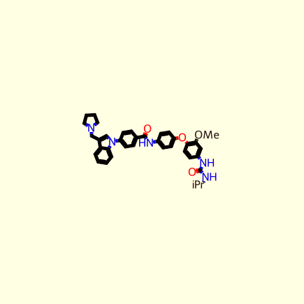 COc1cc(NC(=O)NC(C)C)ccc1Oc1ccc(NC(=O)c2ccc(-n3cc(CN4CCCC4)c4ccccc43)cc2)cc1